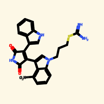 N=C(N)SCCCn1cc(C2=C(c3c[nH]c4ccccc34)C(=O)NC2=O)c2c([N+](=O)[O-])cccc21